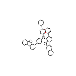 c1ccc(-c2ccc(N(c3ccc(-c4cccc5c4oc4ccccc45)cc3)c3c(-c4ccccc4)ccc4c3oc3cc5ccccc5cc34)cc2)cc1